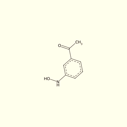 CC(=O)c1cccc(NO)c1